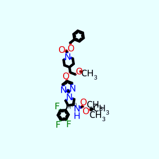 COCC(Oc1cnc(N2C[C@H](NC(=O)OC(C)(C)C)[C@@H](c3cc(F)c(F)cc3F)C2)nc1)C1CCN(C(=O)OCc2ccccc2)CC1